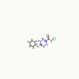 O=C(CCl)N1CCN(Sc2ccccc2)CC1